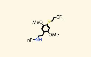 CCCNCCc1cc(OC)c(SCCC(F)(F)F)cc1OC